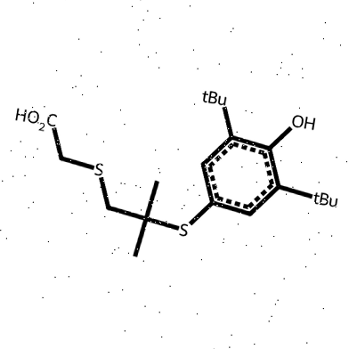 CC(C)(CSCC(=O)O)Sc1cc(C(C)(C)C)c(O)c(C(C)(C)C)c1